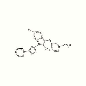 Cc1c(Sc2cccc(C(=O)O)c2)c2ccc(Cl)cc2n1-c1cnn(-c2ccccc2)c1